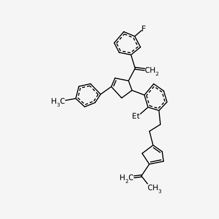 C=C(C)C1=CC=C(CCc2cccc(C3CC(c4ccc(C)cc4)=CC3C(=C)c3cccc(F)c3)c2CC)C1